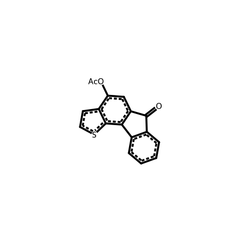 CC(=O)Oc1cc2c(c3sccc13)-c1ccccc1C2=O